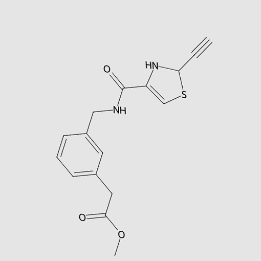 C#CC1NC(C(=O)NCc2cccc(CC(=O)OC)c2)=CS1